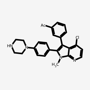 CC(=O)c1cccc(-c2c(-c3ccc(N4CCNCC4)cc3)n(C)c3nccc(Cl)c23)c1